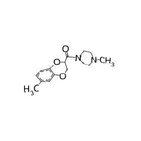 Cc1ccc2c(c1)OCC(C(=O)N1CCN(C)CC1)O2